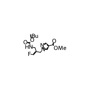 COC(=O)c1cnn(CC(=CF)CNC(=O)OC(C)(C)C)c1